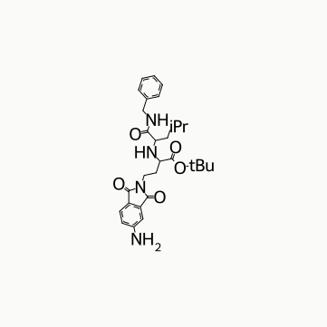 CC(C)CC(NC(CCN1C(=O)c2ccc(N)cc2C1=O)C(=O)OC(C)(C)C)C(=O)NCc1ccccc1